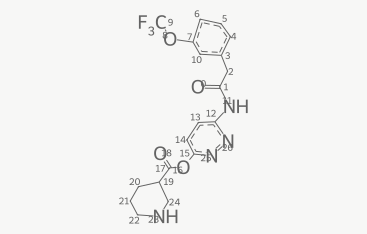 O=C(Cc1cccc(OC(F)(F)F)c1)Nc1ccc(OC(=O)C2CCCNC2)nn1